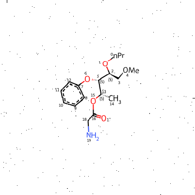 CCCO[C@@H](COC)[C@@H](Oc1ccccc1)[C@H](C)OC(=O)CN